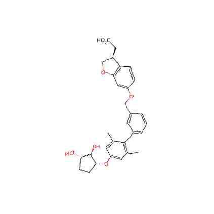 Cc1cc(O[C@@H]2CC[C@H](O)[C@H]2O)cc(C)c1-c1cccc(COc2ccc3c(c2)OC[C@H]3CC(=O)O)c1